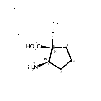 N[C@@H]1CCC[C@]1(F)C(=O)O